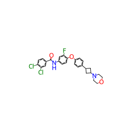 O=C(Nc1ccc(Oc2ccc(C3CC(N4CCOCC4)C3)cc2)c(F)c1)c1ccc(Cl)c(Cl)c1